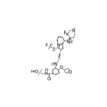 CN1CC[C@@H](Nc2cccn3c(SC(F)(F)F)c(C#CCNc4cc(C(=O)NCC(C)(C)O)ccc4OC4COC4)cc23)[C@@H](F)C1